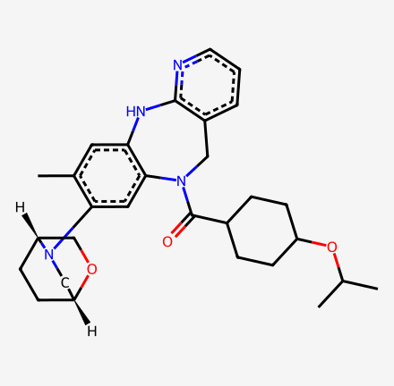 Cc1cc2c(cc1N1C[C@H]3CC[C@@H]1CO3)N(C(=O)C1CCC(OC(C)C)CC1)Cc1cccnc1N2